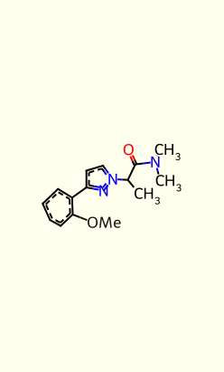 COc1ccccc1-c1ccn(C(C)C(=O)N(C)C)n1